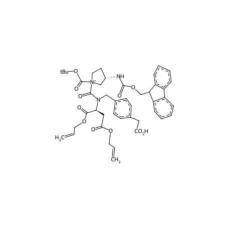 C=CCOC(=O)C[C@@H](C(=O)OCC=C)N(Cc1ccc(CC(=O)O)cc1)C(=O)[N+]1(C(=O)OC(C)(C)C)CC[C@H](NC(=O)OCC2c3ccccc3-c3ccccc32)C1